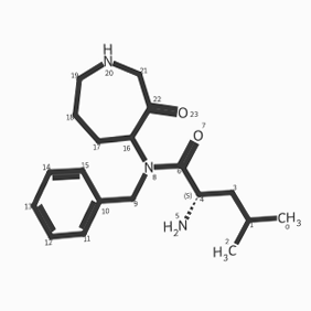 CC(C)C[C@H](N)C(=O)N(Cc1ccccc1)C1CCCNCC1=O